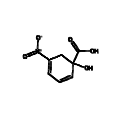 O=C(O)C1(O)C=CC=C([N+](=O)[O-])C1